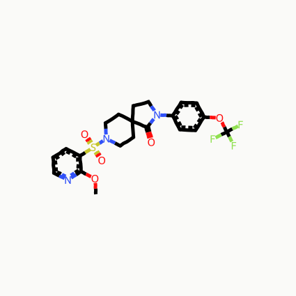 COc1ncccc1S(=O)(=O)N1CCC2(CCN(c3ccc(OC(F)(F)F)cc3)C2=O)CC1